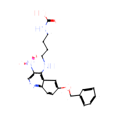 O=C(O)NCCCCNc1c([N+](=O)[O-])cnc2ccc(OCc3ccccc3)cc12